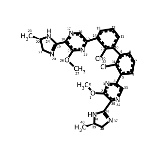 COc1nc(-c2cccc(-c3cccc(-c4cnc(C5=NC[C@@H](C)N5)c(OC)n4)c3Cl)c2Cl)cnc1C1=NC[C@@H](C)N1